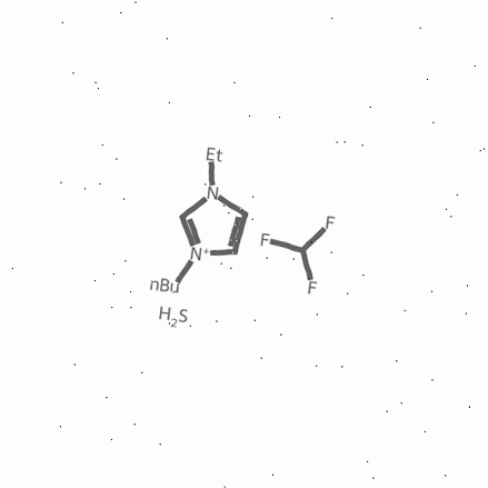 CCCC[n+]1ccn(CC)c1.FC(F)F.S